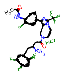 CC(=O)Nc1ccc(-c2nc(C(F)(F)F)n3c2CN(C(=O)CC(N)Cc2cc(F)c(F)cc2F)CC3)cc1F.Cl